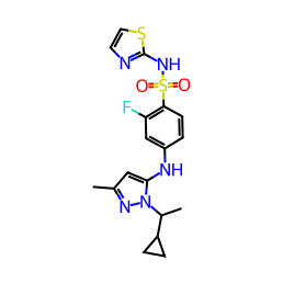 Cc1cc(Nc2ccc(S(=O)(=O)Nc3nccs3)c(F)c2)n(C(C)C2CC2)n1